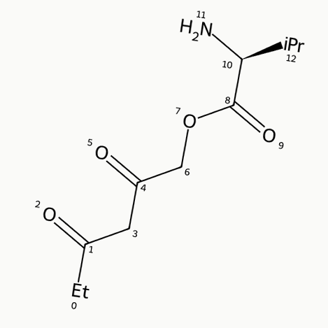 CCC(=O)CC(=O)COC(=O)[C@@H](N)C(C)C